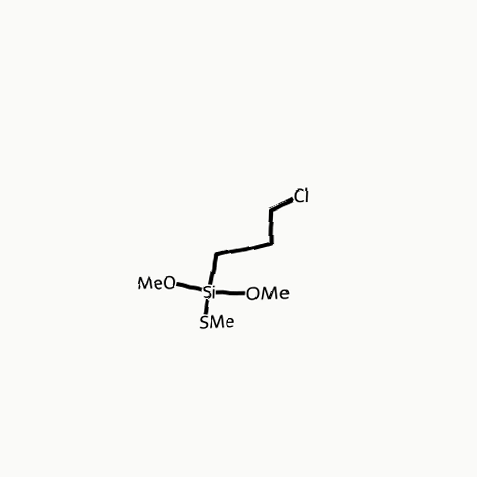 CO[Si](CCCCl)(OC)SC